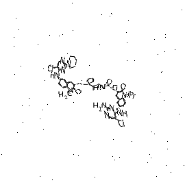 CC(C)n1c(=O)c(OCC(=O)NCCC(=O)CCc2cc3cc(Nc4nc(N5CCCCC5)ncc4Cl)ccc3n(C)c2=O)cc2cc(Nc3nc(N)ncc3Cl)ccc21